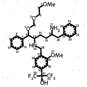 COCCOCOC(c1ccccc1)C(CCC(N)Cc1ccccc1)NCc1ccc(C(O)(C(F)(F)F)C(F)(F)F)cc1OC